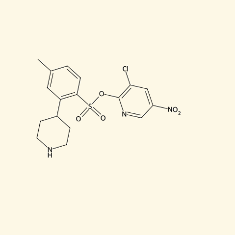 Cc1ccc(S(=O)(=O)Oc2ncc([N+](=O)[O-])cc2Cl)c(C2CCNCC2)c1